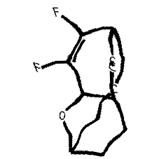 FC1=C(F)C2OC3CCC1CCC2CC3